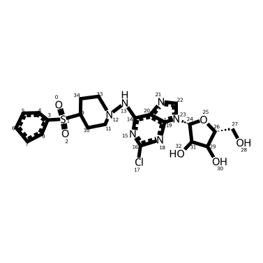 O=S(=O)(c1ccccc1)C1CCN(Nc2nc(Cl)nc3c2ncn3[C@@H]2O[C@H](CO)C(O)C2O)CC1